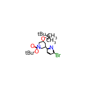 CC(C)(C)OC(=O)N1CC(O[Si](C)(C)C(C)(C)C)CC(c2ccc(Br)cn2)C1